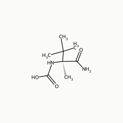 CC(C)(C)[C@](C)(NC(=O)O)C(N)=O